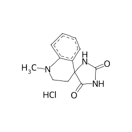 CN1CCC2(NC(=O)NC2=O)c2ccccc21.Cl